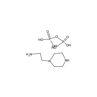 NCCN1CCNCC1.O=P(O)(O)OP(=O)(O)O